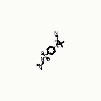 CN(C)/C=N/S(=O)(=O)c1ccc([C@@H]2[C@@H](C#N)C2(C)C)cc1